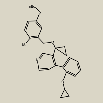 CCCCSc1ccc(CC)c(COC2(c3cnccc3-c3ccccc3OC3CC3)CC2)c1